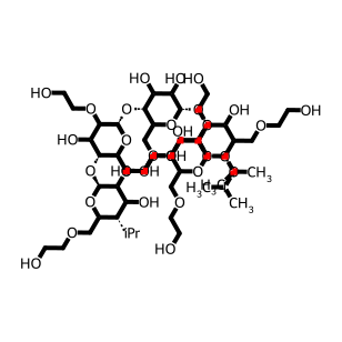 CC(C)[C@@H]1C(COCCO)O[C@@H](O[C@H]2C(CO)O[C@@H](O[C@H]3C(CO[C@H]4C(COCCO)O[C@@H](OI(C)C)C(OCCO)C4O)O[C@@H](O[C@H]4C(COCCO)O[C@@H](OI(C)C)C(COCCO)C4O)C(O)C3O)C(OCCO)C2O)C(OCCO)C1O